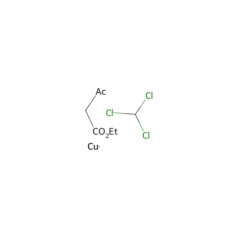 CCOC(=O)CC(C)=O.ClC(Cl)Cl.[Cu]